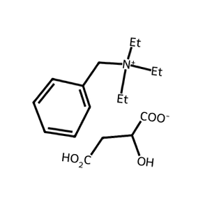 CC[N+](CC)(CC)Cc1ccccc1.O=C(O)CC(O)C(=O)[O-]